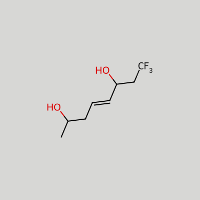 CC(O)CC=CC(O)CC(F)(F)F